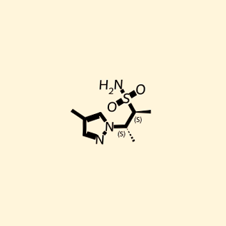 Cc1cnn([C@@H](C)[C@H](C)S(N)(=O)=O)c1